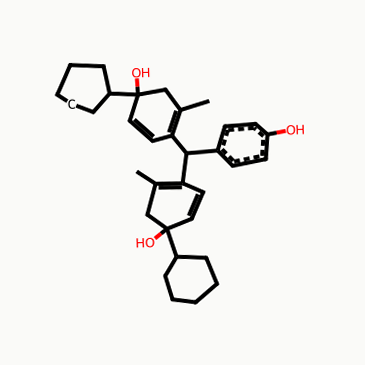 CC1=C(C(C2=C(C)CC(O)(C3CCCCC3)C=C2)c2ccc(O)cc2)C=CC(O)(C2CCCCC2)C1